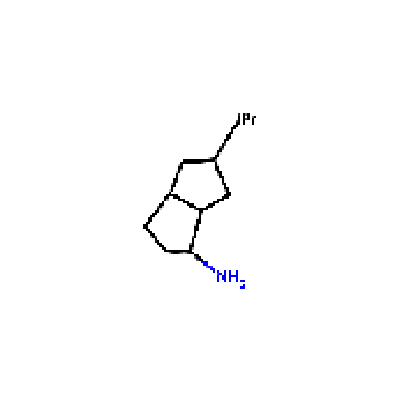 CC(C)C1CC2CCC(N)C2C1